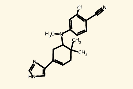 CN(c1ccc(C#N)c(Cl)c1)C1CC(c2c[nH]cn2)=CCC1(C)C